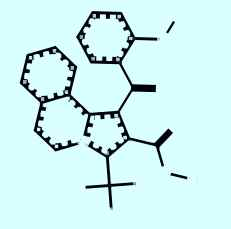 COC(=O)c1c(C(=O)c2ccccc2OC)c2c3ccccc3ccn2c1C(F)(F)F